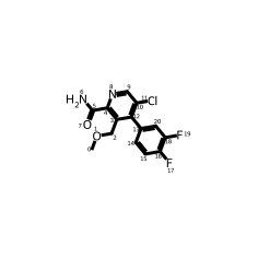 COCc1c(C(N)=O)ncc(Cl)c1-c1ccc(F)c(F)c1